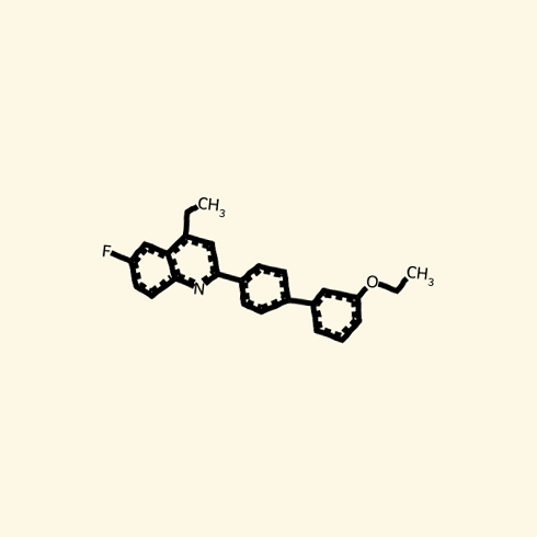 CCOc1cccc(-c2ccc(-c3cc(CC)c4cc(F)ccc4n3)cc2)c1